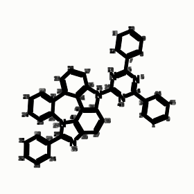 c1ccc(-c2nc(-c3ccccc3)nc(-n3c4cccc5c6ccccc6n6c(-c7ccccc7)nc7ccc3c(c54)c76)n2)cc1